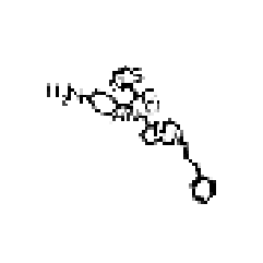 NC1CCC(C(NC(=O)C2CCC3CN(CCCc4ccccc4)CCN32)C(=O)c2nccs2)CC1